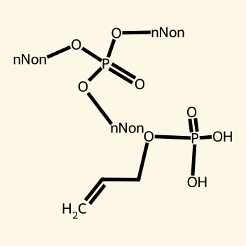 C=CCOP(=O)(O)O.CCCCCCCCCOP(=O)(OCCCCCCCCC)OCCCCCCCCC